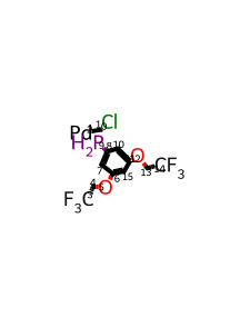 Cl[CH2][Pd].FC(F)(F)COc1cc(P)cc(OCC(F)(F)F)c1